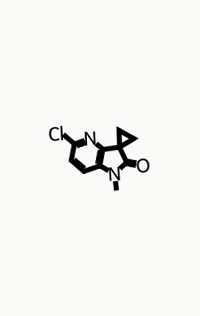 CN1C(=O)C2(CC2)c2nc(Cl)ccc21